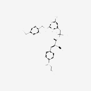 CN(CCO)c1ccc(/C=C(\C#N)C(=O)OC(C)(C)Cc2cc(N)nc(OCc3ccc(CN)cc3)n2)cc1